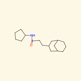 O=C(CCC1CC2CCCC(C2)C1)NC1CCCC1